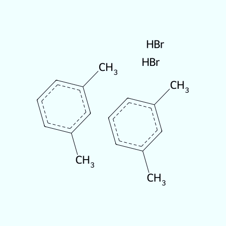 Br.Br.Cc1cccc(C)c1.Cc1cccc(C)c1